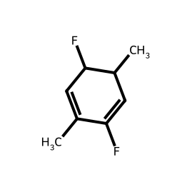 CC1=CC(F)C(C)C=C1F